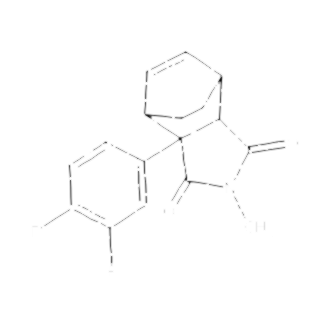 CN1C(=O)C2C3C=CC(CC3)C2(c2ccc(F)c(F)c2)C1=O